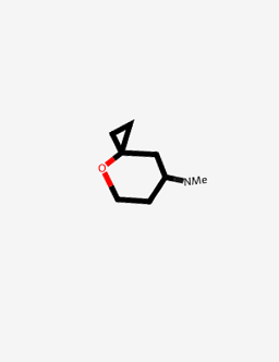 CNC1CCOC2(CC2)C1